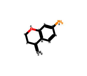 C=C1CCOc2cc(P)ccc21